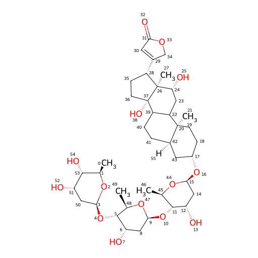 C[C@H]1O[C@@H](O[C@H]2[C@@H](O)C[C@H](O[C@H]3[C@@H](O)C[C@H](O[C@H]4CC[C@]5(C)C6C[C@@H](O)[C@]7(C)[C@@H](C8=CC(=O)OC8)CC[C@]7(O)C6CC[C@@H]5C4)O[C@@H]3C)O[C@@H]2C)C[C@H](O)[C@@H]1O